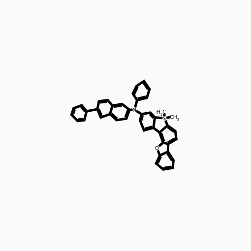 C[Si]1(C)c2cc(N(c3ccccc3)c3ccc4cc(-c5ccccc5)ccc4c3)ccc2-c2c1ccc1c2oc2ccccc21